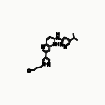 CC(C)c1cnnc(NC2C=Cc3ncc(-c4cnn(CCC=O)c4)cc3N2)c1